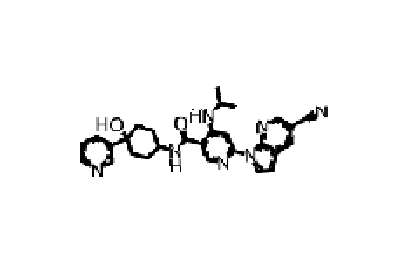 CC(C)Nc1cc(-n2ccc3cc(C#N)cnc32)ncc1C(=O)NC1CCC(O)(c2cccnc2)CC1